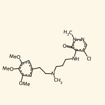 COc1cc(CCN(C)CCCNc2c(Cl)cnn(C)c2=O)cc(OC)c1OC